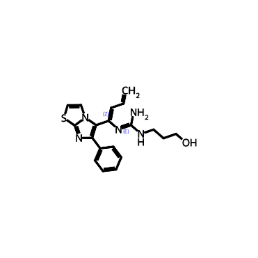 C=C/C=C(\N=C(/N)NCCCO)c1c(-c2ccccc2)nc2sccn12